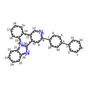 c1ccc(-c2ccc(-c3cc4c(cn3)c3ccccc3n3c5ccccc5nc43)cc2)cc1